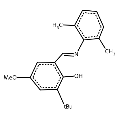 COc1cc(C=Nc2c(C)cccc2C)c(O)c(C(C)(C)C)c1